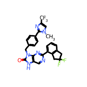 Cn1cc(C(F)(F)F)nc1-c1ccc(Cn2c(=O)[nH]c3cnc(-c4cccc5c4CC(F)(F)C5)nc32)cc1